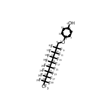 Oc1ccc(OCC(F)(F)C(F)(F)C(F)(F)C(F)(F)C(F)(F)C(F)(F)C(F)(F)C(F)(F)C(F)(F)F)cc1